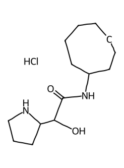 Cl.O=C(NC1CCCCCCC1)C(O)C1CCCN1